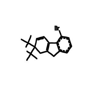 CC(C)(C)C1(C(C)(C)C)C=CC2=C(Cc3cccc(Br)c32)C1